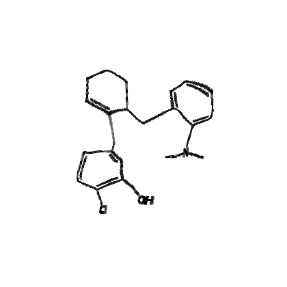 CN(C)c1ccccc1CC1CCCC=C1c1ccc(Cl)c(O)c1